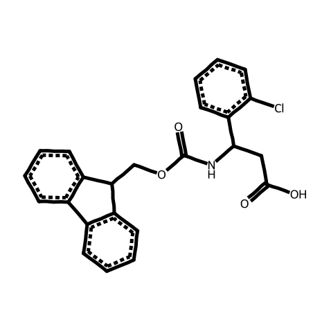 O=C(O)CC(NC(=O)OCC1c2ccccc2-c2ccccc21)c1ccccc1Cl